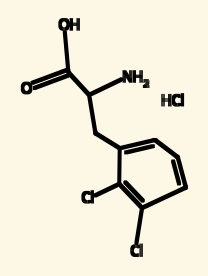 Cl.NC(Cc1cccc(Cl)c1Cl)C(=O)O